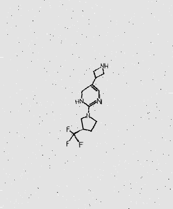 FC(F)(F)[C@@H]1CCN(C2=NC=C(C3CNC3)CN2)C1